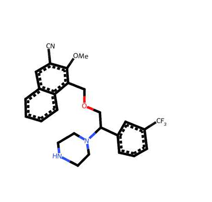 COc1c(C#N)cc2ccccc2c1COCC(c1cccc(C(F)(F)F)c1)N1CCNCC1